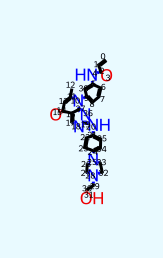 C=CC(=O)Nc1cccc(-n2c(C)cc(=O)c3cnc(Nc4ccc(N5CCN(CCO)CC5)cc4)nc32)c1